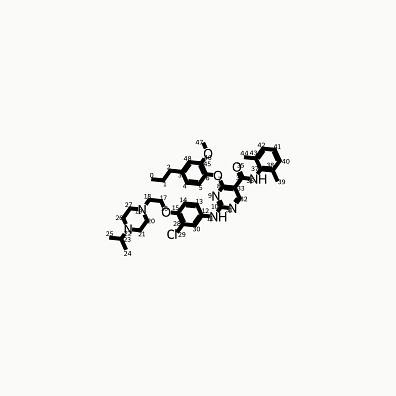 CCCc1ccc(Oc2nc(Nc3ccc(OCCN4CCN(C(C)C)CC4)c(Cl)c3)ncc2C(=O)Nc2c(C)cccc2C)c(OC)c1